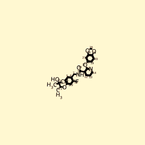 CC(Oc1ccc(CNC(=O)c2cccnc2Oc2ccc3c(c2)OCO3)c(F)c1)C(C)(C)O